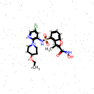 CCOC1CCN(c2ncc(Cl)cc2NS(=O)(=O)c2cccc3oc(C(=O)NO)c(C)c23)CC1